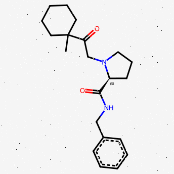 CC1(C(=O)CN2CCC[C@H]2C(=O)NCc2ccccc2)CCCCC1